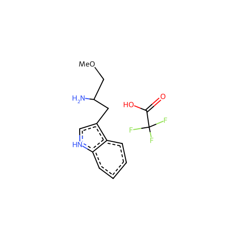 COCC(N)Cc1c[nH]c2ccccc12.O=C(O)C(F)(F)F